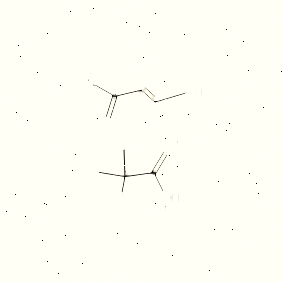 CC=CC(N)=O.O=C(O)C(F)(F)F